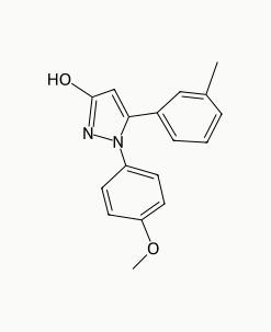 COc1ccc(-n2nc(O)cc2-c2cccc(C)c2)cc1